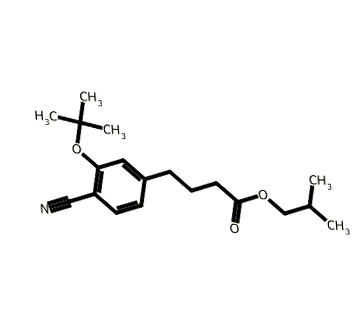 CC(C)COC(=O)CCCc1ccc(C#N)c(OC(C)(C)C)c1